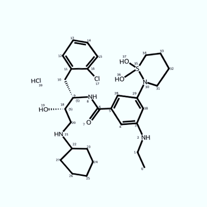 CCNc1cc(C(=O)N[C@@H](Cc2ccccc2Cl)[C@@H](O)CNC2CCCCC2)cc(N2CCCCS2(O)O)c1.Cl